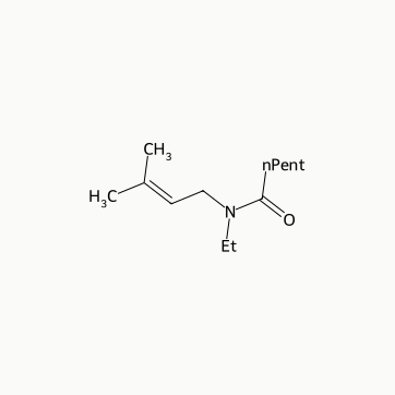 CCCCCC(=O)N(CC)CC=C(C)C